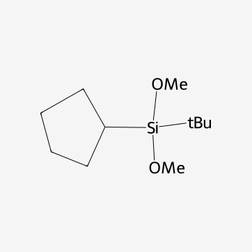 CO[Si](OC)(C1CCCC1)C(C)(C)C